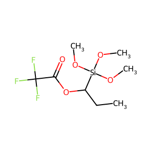 CCC(OC(=O)C(F)(F)F)[Si](OC)(OC)OC